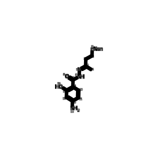 CCCCCCCCCCC/C(C)=N/NC(=O)c1ccc(N)cc1O